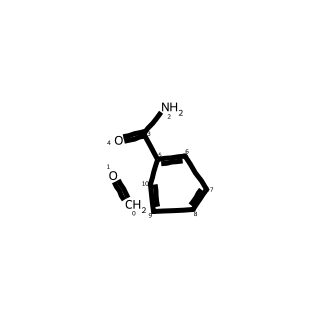 C=O.NC(=O)c1ccccc1